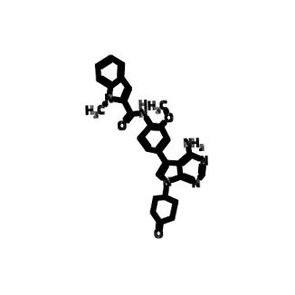 COc1cc(-c2cn(C3CCC(=O)CC3)c3ncnc(N)c23)ccc1NC(=O)c1cc2ccccc2n1C